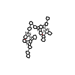 c1ccc(-c2ccc3c(c2)c2cc4c5cc(-c6ccccc6-c6ccc(-c7nc(-n8c9ccccc9c9cc%10c%11ccc(-c%12ccc%13ccccc%13c%12)cc%11n%11c%12ccccc%12c(c98)c%10%11)c8ccccc8n7)cc6)ccc5n5c6ccccc6c(c2n3-c2nc(-c3ccc6ccccc6c3)c3ccccc3n2)c45)cc1